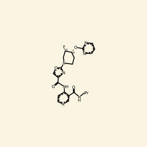 CC(C)NC(=O)c1cnccc1NC(=O)c1coc(N2CC[C@@H](Oc3ncccn3)[C@@H](F)C2)n1